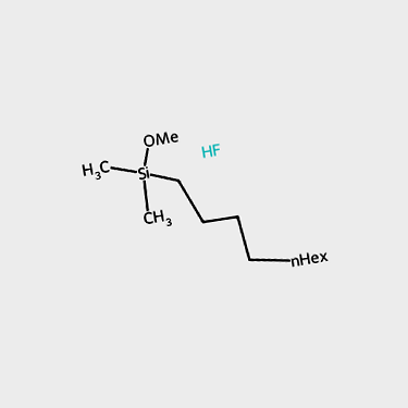 CCCCCCCCCC[Si](C)(C)OC.F